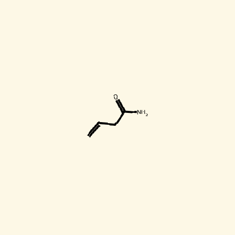 C=CCC(N)=O